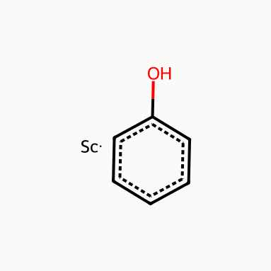 Oc1ccccc1.[Sc]